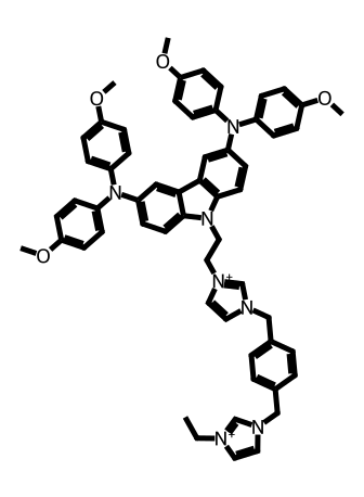 CC[n+]1ccn(Cc2ccc(Cn3cc[n+](CCn4c5ccc(N(c6ccc(OC)cc6)c6ccc(OC)cc6)cc5c5cc(N(c6ccc(OC)cc6)c6ccc(OC)cc6)ccc54)c3)cc2)c1